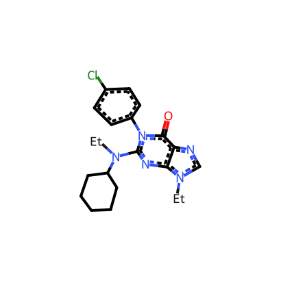 CCN(c1nc2c(ncn2CC)c(=O)n1-c1ccc(Cl)cc1)C1CCCCC1